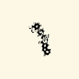 Cl.Cl.O=C(NCCN1CCN(c2cccc(Cl)c2Cl)CC1)c1ccc2c(c1)Cc1ccccc1-2